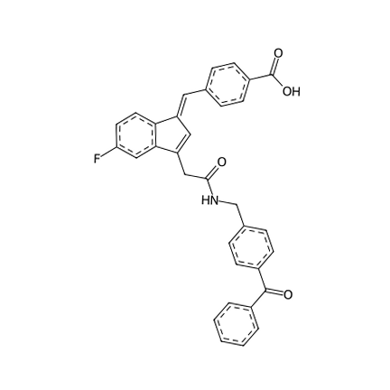 O=C(CC1=C/C(=C\c2ccc(C(=O)O)cc2)c2ccc(F)cc21)NCc1ccc(C(=O)c2ccccc2)cc1